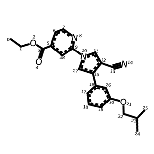 CCOC(=O)c1ccnc(-n2cc(C#N)c(-c3cccc(OCC(C)C)c3)c2)c1